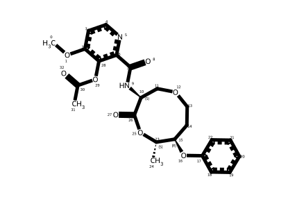 COc1ccnc(C(=O)N[C@H]2COCC[C@@H](Oc3ccccc3)[C@H](C)OC2=O)c1OC(C)=O